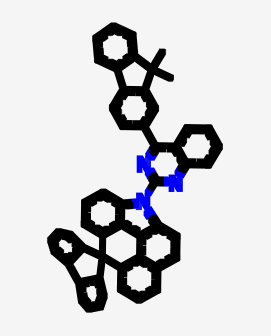 CC1(C)c2ccccc2-c2ccc(-c3nc(-n4c5cccc6c5c5c7c(cccc7ccc54)C64c5ccccc5-c5ccccc54)nc4ccccc34)cc21